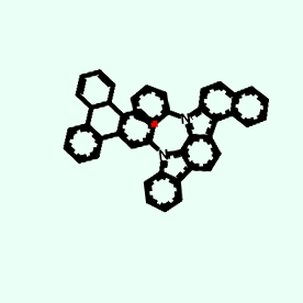 C1=CC2c3ccccc3-c3cc(-n4c5ccccc5c5ccc6c7c8ccccc8ccc7n(-c7ccccc7)c6c54)ccc3C2C=C1